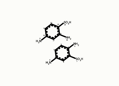 Nc1ccc(N)c(S(=O)(=O)O)c1.Nc1ccc(S(=O)(=O)O)c(N)c1